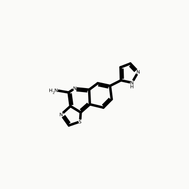 Nc1nc2cc(-c3ccn[nH]3)ccc2c2scnc12